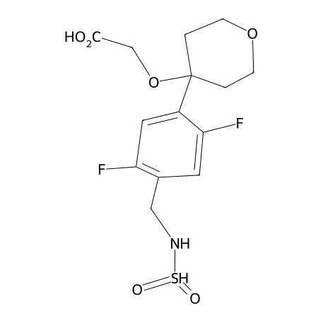 O=C(O)COC1(c2cc(F)c(CN[SH](=O)=O)cc2F)CCOCC1